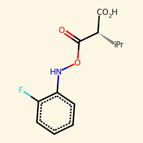 CC(C)[C@@H](C(=O)O)C(=O)ONc1ccccc1F